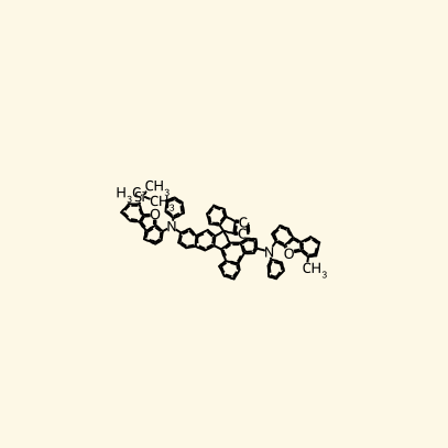 Cc1cccc2c1oc1c(N(c3ccccc3)c3ccc4c5c(c6ccccc6c4c3)-c3cc4ccc(N(c6ccccc6)c6cccc7c6oc6c([Si](C)(C)C)cccc67)cc4cc3C53c4ccccc4-c4ccccc43)cccc12